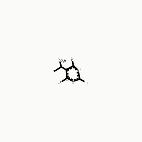 CC(C(=O)O)c1c(F)nc(F)nc1F